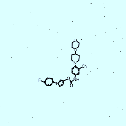 N#Cc1cc(NC(=O)Oc2ccn(-c3ccc(F)cc3)c2)ccc1N1CCC(N2CCOCC2)CC1